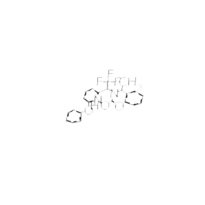 CC(c1ccccc1)N(C(=O)O)C(c1cccc(Oc2ccccc2)n1)C(F)(F)F